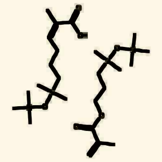 C=C(C)C(=O)OCCC[Si](C)(C)O[Si](C)(C)C.CC(=CCCC[Si](C)(C)O[Si](C)(C)C)C(=O)O